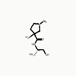 CC(C)(C)N1CCC(N)(C(=O)N[C@H](CO)C(=O)O)C1